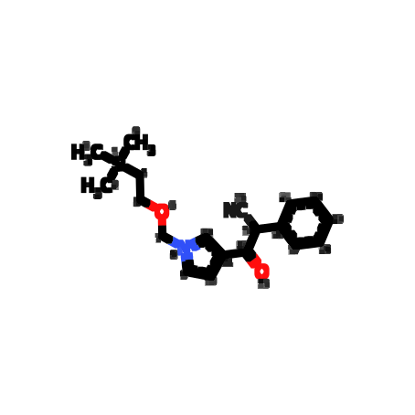 C[Si](C)(C)CCOCn1ccc(C(=O)C(C#N)c2ccccc2)c1